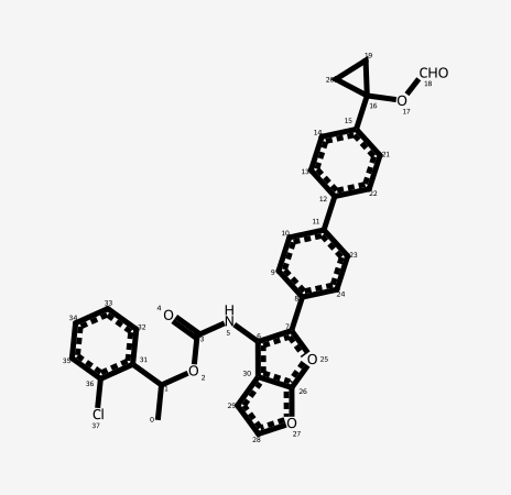 CC(OC(=O)Nc1c(-c2ccc(-c3ccc(C4(OC=O)CC4)cc3)cc2)oc2occc12)c1ccccc1Cl